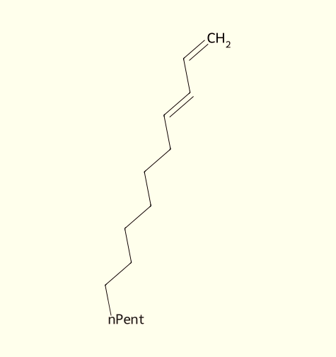 [CH2]CCCCCCCCCC/C=C/C=C